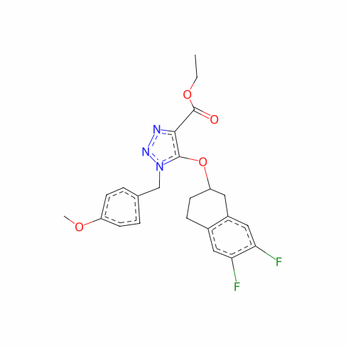 CCOC(=O)c1nnn(Cc2ccc(OC)cc2)c1OC1CCc2cc(F)c(F)cc2C1